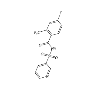 O=C(NS(=O)(=O)c1cccnc1)c1ccc(F)cc1C(F)(F)F